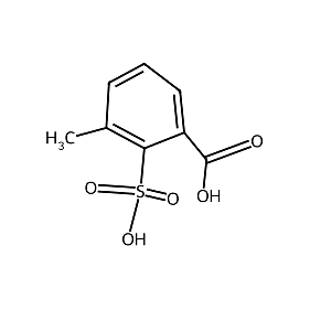 Cc1cccc(C(=O)O)c1S(=O)(=O)O